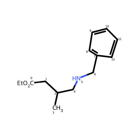 CCOC(=O)CC(C)CNCc1ccccc1